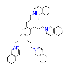 C=CC1=C(/C=C\NCCCc2cc(CCC[n+]3ccc4c(c3)CCCC4)c(CCC[n+]3ccc4c(c3)CCCC4)cc2CCC[n+]2ccc3c(c2)CCCC3)CCCC1